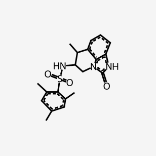 Cc1cc(C)c(S(=O)(=O)NC2Cn3c(=O)[nH]c4cccc(c43)C2C)c(C)c1